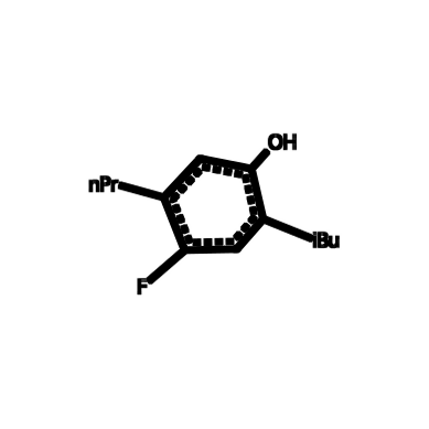 CCCc1cc(O)c(C(C)CC)cc1F